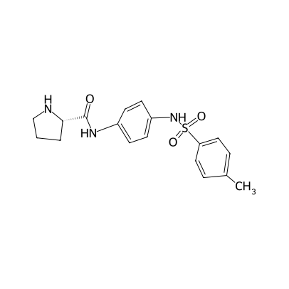 Cc1ccc(S(=O)(=O)Nc2ccc(NC(=O)[C@@H]3CCCN3)cc2)cc1